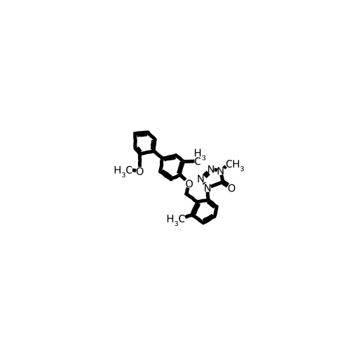 COc1ccccc1-c1ccc(OCc2c(C)cccc2-n2nnn(C)c2=O)c(C)c1